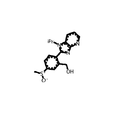 CC(C)n1c(-c2ccc([S+](C)[O-])cc2CO)nc2ncccc21